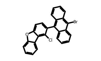 Clc1c(-c2c3ccccc3c(Br)c3ccccc23)ccc2oc3ccccc3c12